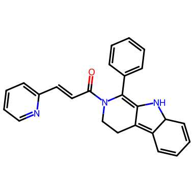 O=C(/C=C/c1ccccn1)N1CCC2=C3C=CC=CC3NC2=C1c1ccccc1